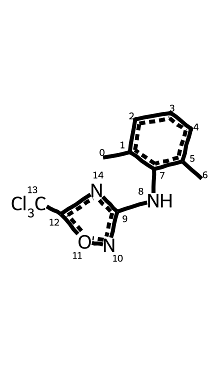 Cc1cccc(C)c1Nc1noc(C(Cl)(Cl)Cl)n1